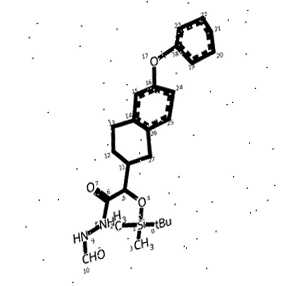 CC(C)(C)[Si](C)(C)OC(C(=O)NNC=O)C1CCc2cc(Oc3ccccc3)ccc2C1